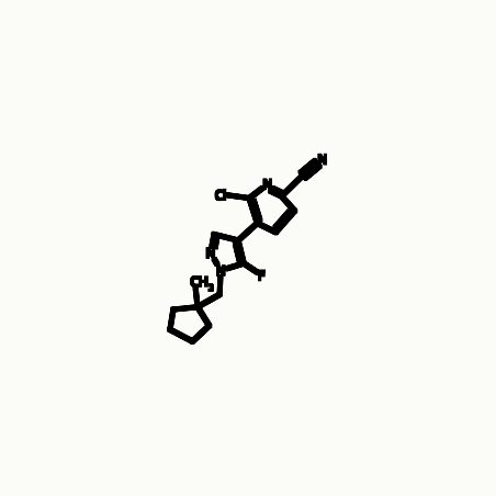 CC1(Cn2ncc(-c3ccc(C#N)nc3Cl)c2F)CCCC1